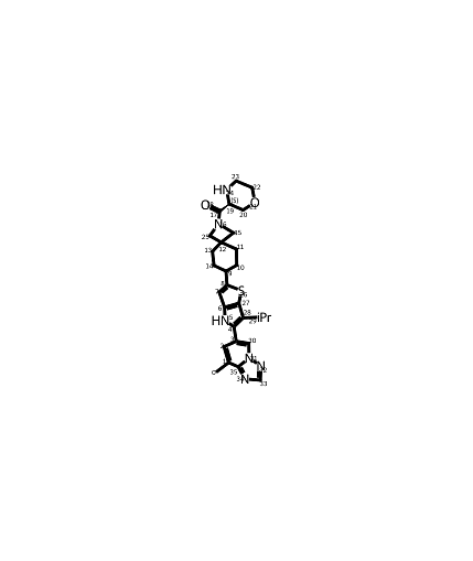 Cc1cc(-c2[nH]c3cc(C4CCC5(CC4)CN(C(=O)[C@@H]4COCCN4)C5)sc3c2C(C)C)cn2ncnc12